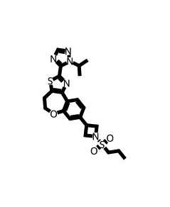 CCCS(=O)(=O)N1CC(c2ccc3c(c2)OCCc2sc(-c4ncnn4C(C)C)nc2-3)C1